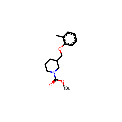 Cc1ccccc1OCC1CCCN(C(=O)OC(C)(C)C)C1